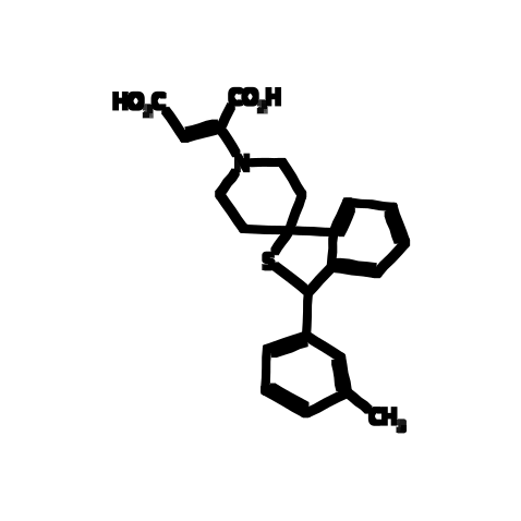 Cc1cccc(C2SC3(CCN(C(=CC(=O)O)C(=O)O)CC3)c3ccccc32)c1